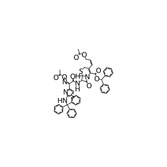 CC(=O)OC/C=C\C1=C(C(=O)OC(c2ccccc2)c2ccccc2)N2C(=O)C(NC(=O)/C(=N\OC(C)=O)c3csc(NC(c4ccccc4)(c4ccccc4)c4ccccc4)n3)[C@@H]2SC1